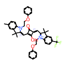 Cc1ccc2c(c1)C(C)(C)/C(=C/C1=C(O)C(=C\C3=[N+](CCOc4ccccc4)c4ccc(C(F)(F)F)cc4C3(C)C)/C1=O)N2CCOc1ccccc1